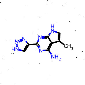 Cc1c[nH]c2nc(-c3c[nH]nn3)nc(N)c12